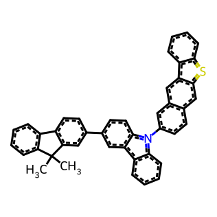 CC1(C)c2ccccc2-c2ccc(-c3ccc4c(c3)c3ccccc3n4-c3ccc4cc5sc6ccccc6c5cc4c3)cc21